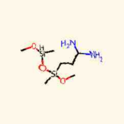 CO[SiH](C)O[Si](C)(CCC(N)N)OC